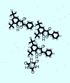 CC(C)(C)c1cc(C(=O)C(=O)c2ccccc2)c(O)c(C(C)(C)C)c1.CC(C)(C)c1cc(C(=O)C(=O)c2ccccc2)c(O)c(C(C)(C)C)c1.CC(C)(C)c1cc(C(=O)C(=O)c2ccccc2)c(O)c(C(C)(C)C)c1.O=c1[nH]c(=O)[nH]c(=O)[nH]1